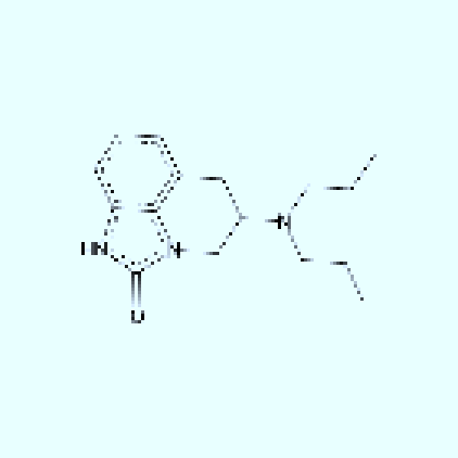 CCCN(CCC)C1Cc2cccc3[nH]c(=O)n(c23)C1